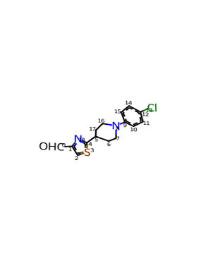 O=Cc1csc(C2CCN(c3ccc(Cl)cc3)CC2)n1